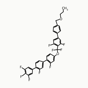 CCCOCc1ccc(-c2cc(F)c(C(F)(F)Oc3ccc(-c4ccc(-c5cc(F)c(F)c(F)c5)c(F)c4)c(F)c3)c(F)c2)cc1